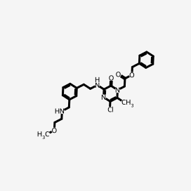 COCCNCc1cccc(CCNc2nc(Cl)c(C)n(CC(=O)OCc3ccccc3)c2=O)c1